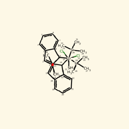 CC1=Cc2ccccc2[CH]1[Zr]([SiH3])([Cl])([Cl])([CH]1C(C)=Cc2ccccc21)([Si](C)(C)C)[Si](C)(C)C